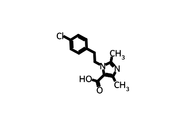 Cc1nc(C)n(CCc2ccc(Cl)cc2)c1C(=O)O